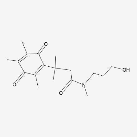 CC1=C(C)C(=O)C(C(C)(C)CC(=O)N(C)CCCO)=C(C)C1=O